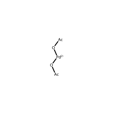 CC(=O)[O][Pd-2][O]C(C)=O